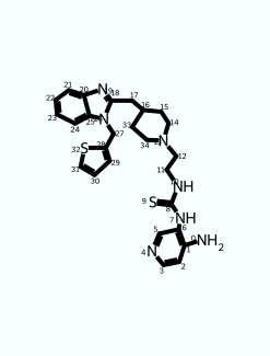 Nc1ccncc1NC(=S)NCCN1CCC(Cc2nc3ccccc3n2Cc2cccs2)CC1